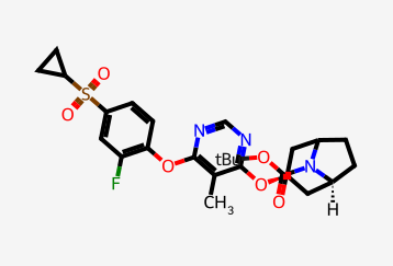 Cc1c(Oc2ccc(S(=O)(=O)C3CC3)cc2F)ncnc1O[C@H]1CC2CC[C@@H](C1)N2C(=O)OC(C)(C)C